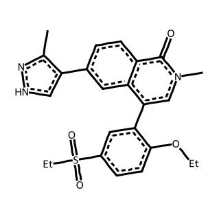 CCOc1ccc(S(=O)(=O)CC)cc1-c1cn(C)c(=O)c2ccc(-c3c[nH]nc3C)cc12